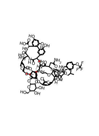 CN[C@H](CC(C)C)C(=O)N[C@H]1C(=O)NC(CC(N)=O)C(=O)NC2C(=O)N[C@H]3C(=O)N[C@H](C(=O)N[C@@H](C(=O)O)c4cc(O)cc(O)c4-c4cc3ccc4O)[C@H](O)c3ccc(c(Cl)c3)Oc3cc2cc(c3O[C@@H]2O[C@H](CO)[C@@H](O)[C@H](O)[C@H]2O[C@H]2C[C@](C)(NCCOC3CCN(C(=O)Nc4ccc(OC(F)(F)F)cc4)CC3)[C@H](O)[C@H](C)O2)Oc2ccc(cc2Cl)[C@H]1O